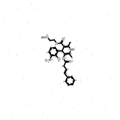 COCCOC(=O)C1=C(C)NC(C)=C(OC(=O)CC=Cc2ccccc2)C1c1cccc([N+](=O)[O-])c1Cl